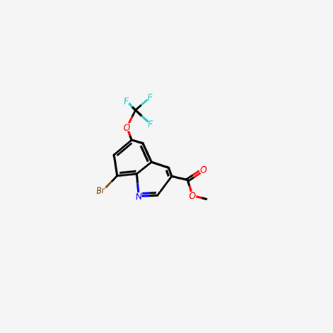 COC(=O)c1cnc2c(Br)cc(OC(F)(F)F)cc2c1